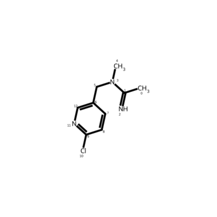 CC(=N)N(C)Cc1ccc(Cl)nc1